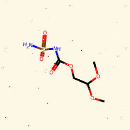 COC(COC(=O)NS(N)(=O)=O)OC